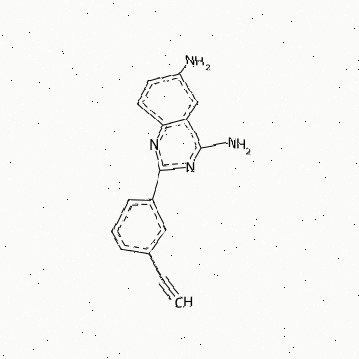 C#Cc1cccc(-c2nc(N)c3cc(N)ccc3n2)c1